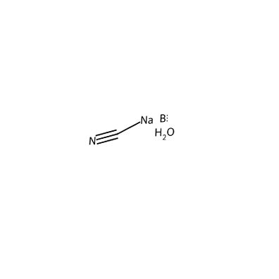 N#[C][Na].O.[B]